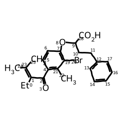 CCC(C(=O)c1ccc(OC(CCc2ccccc2)C(=O)O)c(Br)c1C)=C(C)C